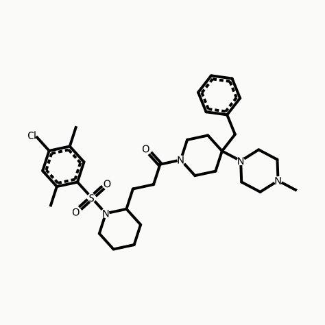 Cc1cc(S(=O)(=O)N2CCCCC2CCC(=O)N2CCC(Cc3ccccc3)(N3CCN(C)CC3)CC2)c(C)cc1Cl